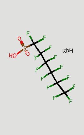 O=S(=O)(O)C(F)(F)C(F)(F)C(F)(F)C(F)(F)C(F)(F)C(F)(F)F.[RbH]